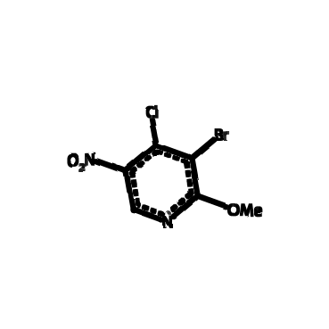 COc1ncc([N+](=O)[O-])c(Cl)c1Br